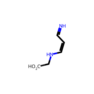 N=C/C=C\NCC(=O)O